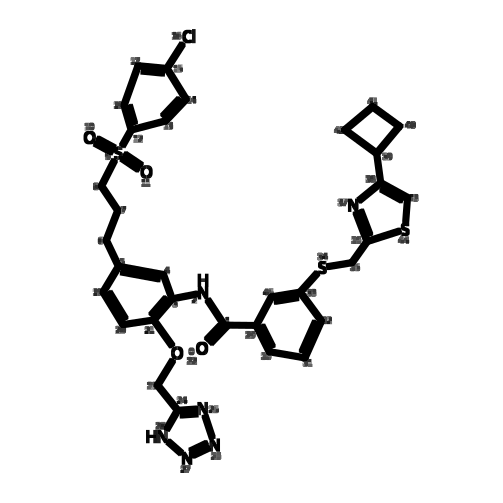 O=C(Nc1cc(CCCS(=O)(=O)c2ccc(Cl)cc2)ccc1OCc1nnn[nH]1)c1cccc(SCc2nc(C3CCC3)cs2)c1